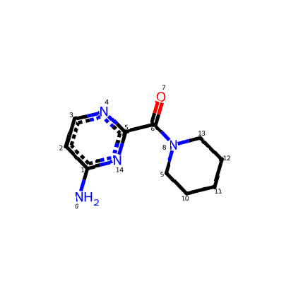 Nc1ccnc(C(=O)N2CCCCC2)n1